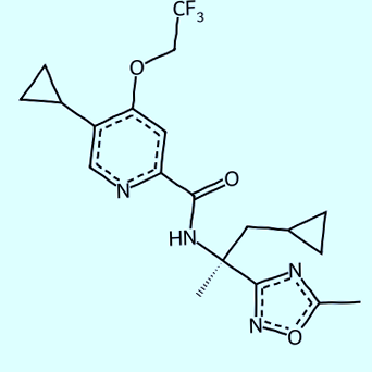 Cc1nc([C@](C)(CC2CC2)NC(=O)c2cc(OCC(F)(F)F)c(C3CC3)cn2)no1